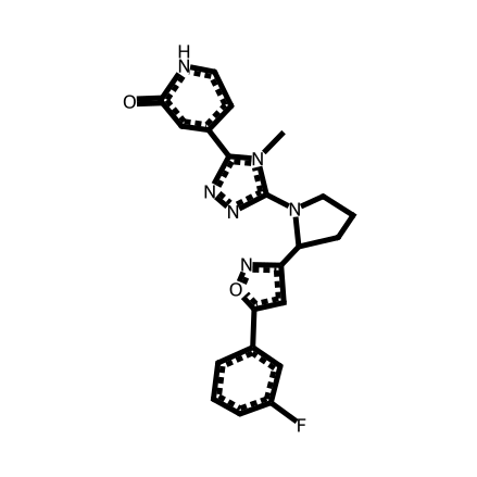 Cn1c(-c2cc[nH]c(=O)c2)nnc1N1CCCC1c1cc(-c2cccc(F)c2)on1